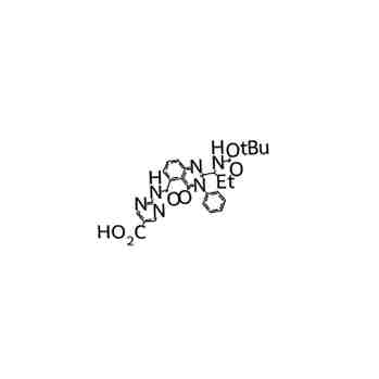 CC[C@H](NC(=O)OC(C)(C)C)c1nc2cccc(C(=O)Nc3ncc(C(=O)O)cn3)c2c(=O)n1-c1ccccc1